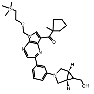 CC1(C(=O)c2cn(COCC[Si](C)(C)C)c3ncc(-c4cccc(N5C[C@@H]6C(CO)[C@@H]6C5)c4)nc23)CCCC1